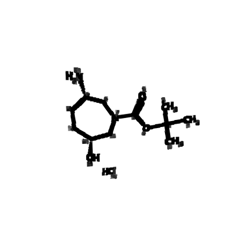 CC(C)(C)OC(=O)N1C[C@@H](N)CC[C@@H](O)C1.Cl